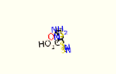 N[C@@H]1C(=O)N2C(C(=O)O)=C(CSc3nncs3)CS[C@H]12